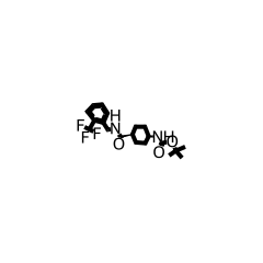 CC(C)(C)OC(=O)N[C@H]1CC[C@@H](C(=O)NCc2ccccc2C(F)(F)F)CC1